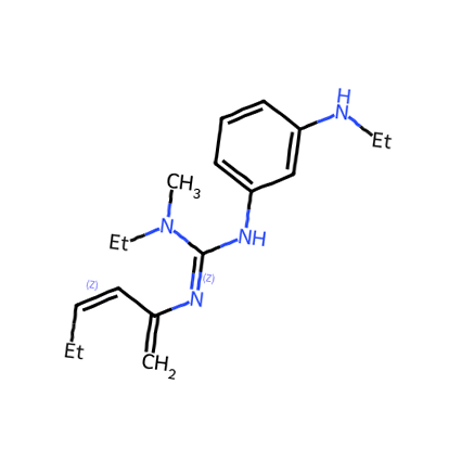 C=C(/C=C\CC)/N=C(/Nc1cccc(NCC)c1)N(C)CC